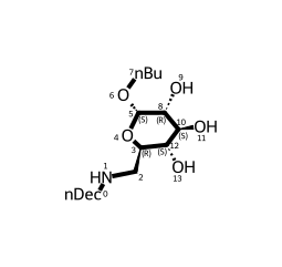 CCCCCCCCCCNC[C@H]1O[C@H](OCCCC)[C@H](O)[C@@H](O)[C@@H]1O